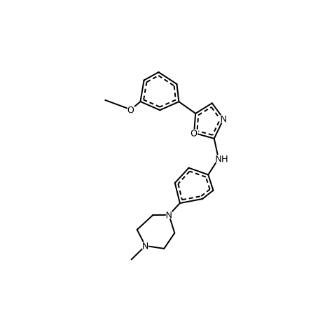 COc1cccc(-c2cnc(Nc3ccc(N4CCN(C)CC4)cc3)o2)c1